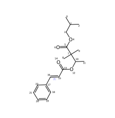 CC(C)COC(=O)C(C)(C)C(C)OC(=O)/C=C/c1ccccc1